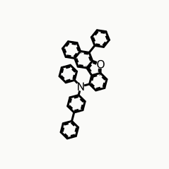 c1ccc(-c2ccc(N(c3ccccc3)c3cccc4oc5c(-c6ccccc6)c6ccccc6cc5c34)cc2)cc1